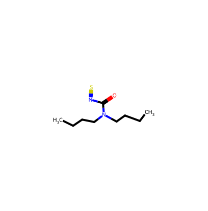 CCCCN(CCCC)C(=O)N=S